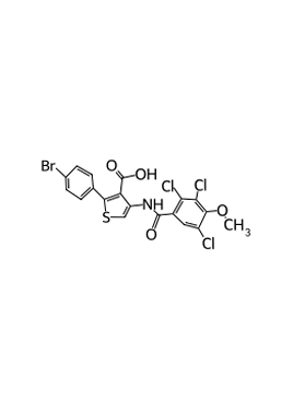 COc1c(Cl)cc(C(=O)Nc2csc(-c3ccc(Br)cc3)c2C(=O)O)c(Cl)c1Cl